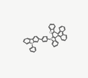 c1ccc(-n2c3ccccc3c3ccc(-c4ccc(-n5c6ccccc6c6c7c8ccccc8c8ccccc8c7c7c8ccccc8oc7c65)cc4)cc32)cc1